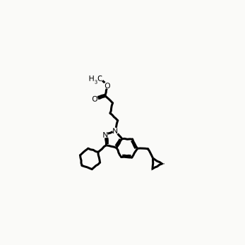 COC(=O)CCCn1nc(C2CCCCC2)c2ccc(CC3[CH]C3)cc21